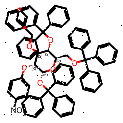 O=[N+]([O-])c1ccc(O[C@H]2[C@@H](OC(c3ccccc3)(c3ccccc3)c3ccccc3)O[C@H](COC(c3ccccc3)(c3ccccc3)c3ccccc3)[C@H](OC(c3ccccc3)(c3ccccc3)c3ccccc3)[C@@H]2OCc2ccccc2)cc1